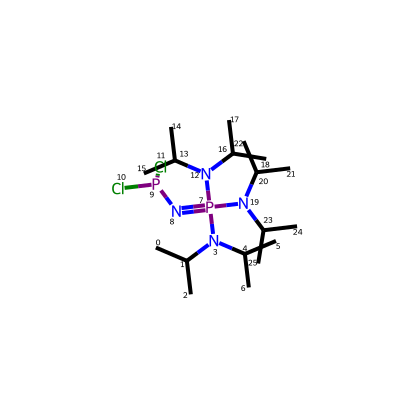 CC(C)N(C(C)C)P(=NP(Cl)Cl)(N(C(C)C)C(C)C)N(C(C)C)C(C)C